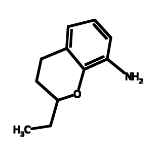 CCC1CCc2cccc(N)c2O1